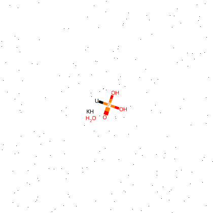 O.O=[P](O)(O)[U].[KH]